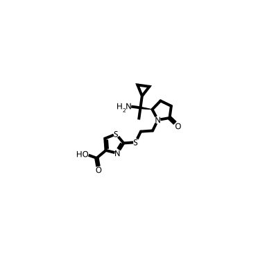 CC(N)(C1CC1)[C@H]1CCC(=O)N1CCSc1nc(C(=O)O)cs1